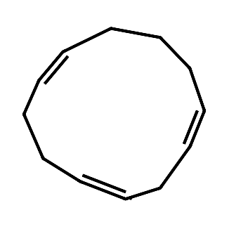 [C]1=CCCC=CCCCC=CC1